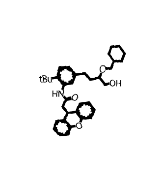 CC(C)(C)c1ccc(CCC(CO)OCC2CCCCC2)cc1NC(=O)CC1c2ccccc2Oc2ccccc21